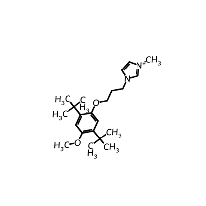 COc1cc(C(C)(C)C)c(OCCCn2cc[n+](C)c2)cc1C(C)(C)C